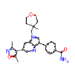 Cc1noc(C)c1-c1cnc2c(-c3ccc(C(N)=O)cc3)cn(CC3(C)CCOCC3)c2c1